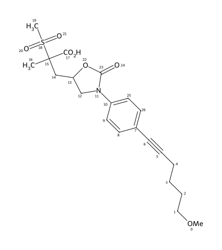 COCCCCC#Cc1ccc(N2CC(CC(C)(C(=O)O)S(C)(=O)=O)OC2=O)cc1